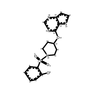 O=S(=O)(c1ccccc1Cl)N1CCC(Oc2ncnc3ccsc23)CC1